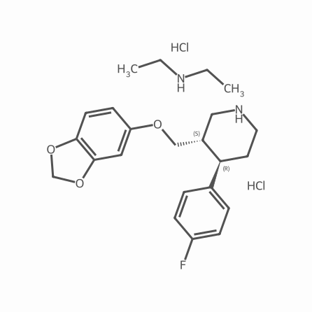 CCNCC.Cl.Cl.Fc1ccc([C@@H]2CCNC[C@H]2COc2ccc3c(c2)OCO3)cc1